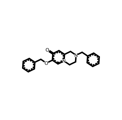 O=c1cc2n(cc1OCc1ccccc1)CCN(Cc1ccccc1)C2